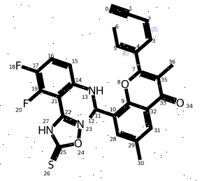 C#C/C=C\C(=C/C)c1oc2c(C(C)Nc3ccc(F)c(F)c3-c3noc(=S)[nH]3)cc(C)cc2c(=O)c1C